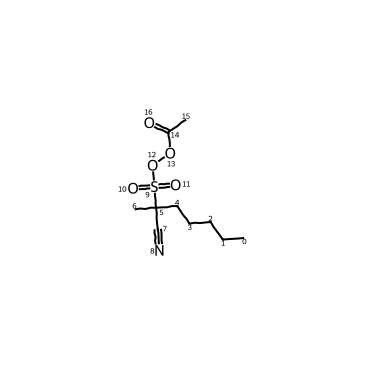 CCCCCC(C)(C#N)S(=O)(=O)OOC(C)=O